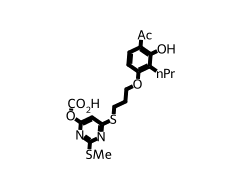 CCCc1c(OCCCSc2cc(OC(=O)O)nc(SC)n2)ccc(C(C)=O)c1O